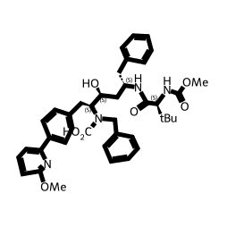 COC(=O)N[C@H](C(=O)N[C@@H](Cc1ccccc1)C[C@H](O)[C@H](Cc1ccc(-c2cccc(OC)n2)cc1)N(Cc1ccccc1)C(=O)O)C(C)(C)C